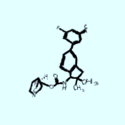 CC1(C)Cc2cc(-c3cc(F)cc(F)c3)ccc2C1NC(=O)O[C@H]1CN2CCC1CC2